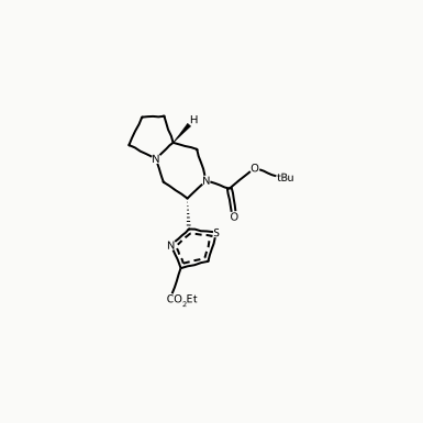 CCOC(=O)c1csc([C@@H]2CN3CCC[C@@H]3CN2C(=O)OC(C)(C)C)n1